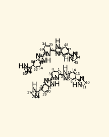 c1cc(-c2nc3cc(C4=NCCN4)ccc3[nH]2)nc(-c2nc3cc(C4=NCCN4)ccc3[nH]2)c1.c1cc(-c2nc3cc(C4=NCCN4)ccc3[nH]2)nc(-c2nc3cc(C4=NCCN4)ccc3[nH]2)c1